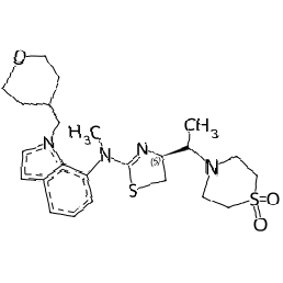 CC([C@H]1CSC(N(C)c2cccc3ccn(CC4CCOCC4)c23)=N1)N1CCS(=O)(=O)CC1